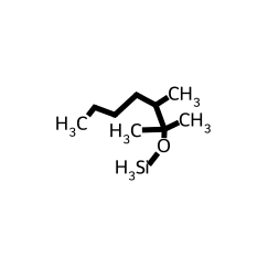 CCCCC(C)C(C)(C)O[SiH3]